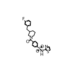 O=C(c1ccc(S(=O)(=O)Nc2nccs2)cc1)N1CCCC(Cc2cccc(F)c2)C1